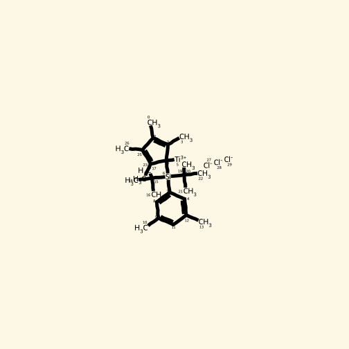 CC1=C(C)[C]([Ti+3])([Si](c2cc(C)cc(C)c2)(C(C)(C)C)C(C)(C)C)C(C)=C1C.[Cl-].[Cl-].[Cl-]